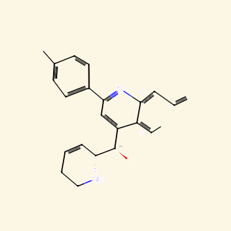 Bc1ccc(-c2cc([C@@H](O)[C@H]3C=CCCN3)c(=C/C)/c(=C\C=C)n2)cc1